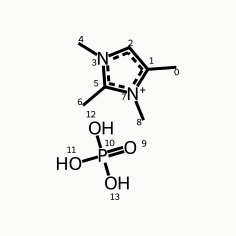 Cc1cn(C)c(C)[n+]1C.O=P(O)(O)O